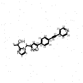 CC(O)c1nccn1Cc1cc(-c2ccc(C#Cc3ccncc3)cc2)on1